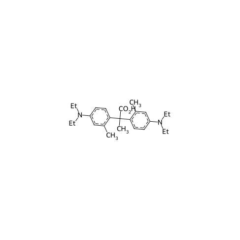 CCN(CC)c1ccc(C(C)(C(=O)O)c2ccc(N(CC)CC)cc2C)c(C)c1